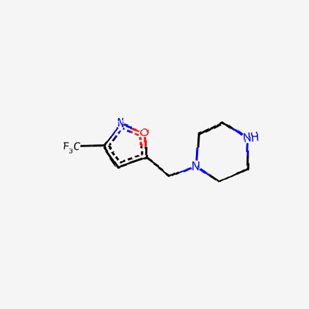 FC(F)(F)c1cc(CN2CCNCC2)on1